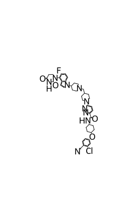 N#Cc1ccc(OC2CCC(NC(=O)c3ccc(N4CCC(CN5CCC(n6ccc7c(N8CCC(=O)NC8=O)c(F)ccc76)CC5)CC4)nn3)CC2)cc1Cl